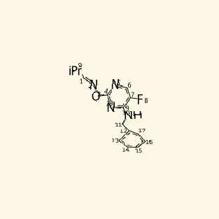 CC(C)C=NOc1ncc(F)c(NCc2ccccc2)n1